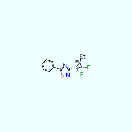 CC[C@@H]1[C@@H](c2nsc(-c3ccccc3)n2)C1(F)F